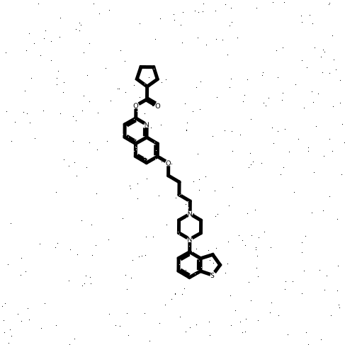 O=C(Oc1ccc2ccc(OCCCCN3CCN(c4cccc5c4CCS5)CC3)cc2n1)C1CCCC1